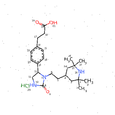 CC1(C)CC(CCN2C(=O)NCC2c2ccc(CCC(=O)O)cc2)CC(C)(C)N1.Cl